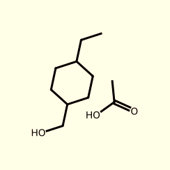 CC(=O)O.CCC1CCC(CO)CC1